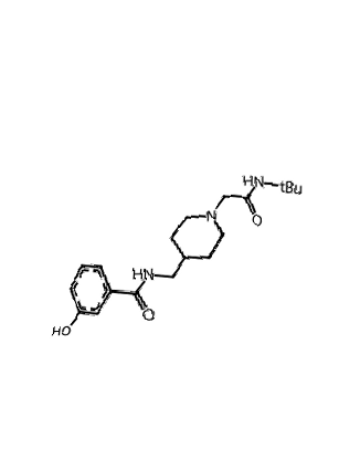 CC(C)(C)NC(=O)CN1CCC(CNC(=O)c2cccc(O)c2)CC1